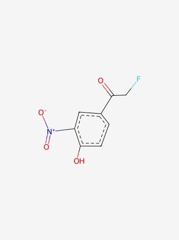 O=C(CF)c1ccc(O)c([N+](=O)[O-])c1